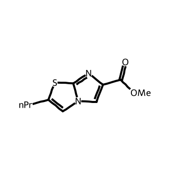 CCCc1cn2cc(C(=O)OC)nc2s1